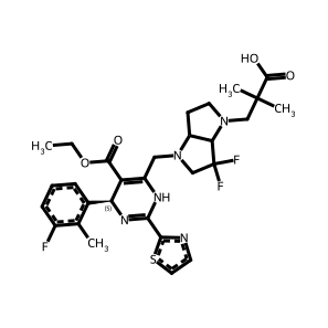 CCOC(=O)C1=C(CN2CC(F)(F)C3C2CCN3CC(C)(C)C(=O)O)NC(c2nccs2)=N[C@H]1c1cccc(F)c1C